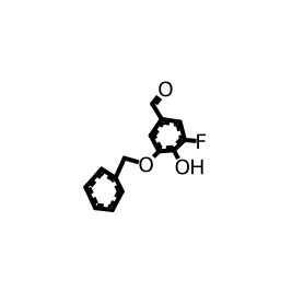 O=Cc1cc(F)c(O)c(OCc2ccccc2)c1